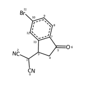 N#CC(C#N)C1CC(=O)c2ccc(Br)cc21